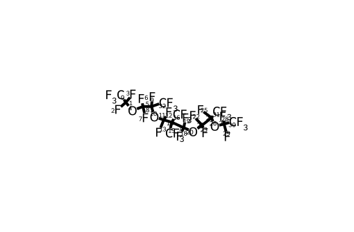 FC(F)(F)C(F)(F)OC(F)(F)C(F)(OC(F)(F)C(C(F)(F)F)(C(F)(F)F)C(F)(F)OC(F)(F)C(F)(OC(F)(F)C(F)(F)F)C(F)(F)F)C(F)(F)F